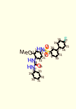 COc1cc(NS(=O)(=O)c2cccc(-c3ccc(F)cc3)c2)ccc1NC(=O)Nc1ccccc1